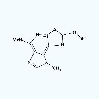 CNc1nc2sc(OC(C)C)nc2c2c1ncn2C